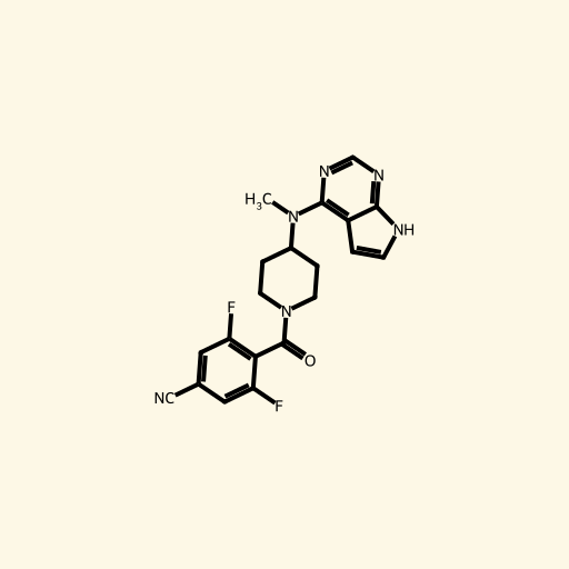 CN(c1ncnc2[nH]ccc12)C1CCN(C(=O)c2c(F)cc(C#N)cc2F)CC1